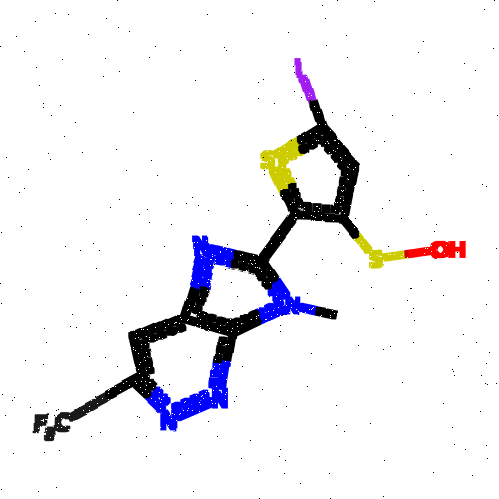 Cn1c(-c2sc(I)cc2SO)nc2cc(C(F)(F)F)nnc21